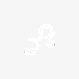 CC(=CC=O)c1ccccc1O